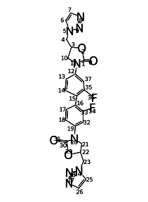 O=C1OC(Cn2ccnn2)CN1c1ccc(-c2ccc(N3CC(Cn4ccnn4)OC3=O)cc2F)c(F)c1